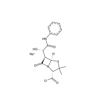 CC1(C)S[C@@H]2[C@H]([C@H](O)C(=O)Nc3ccccc3)C(=O)N2[C@H]1C(=O)[O-].[Na+]